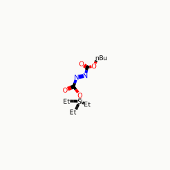 CCCCOC(=O)N=NC(=O)O[Si](CC)(CC)CC